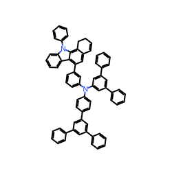 C1=Cc2cc(-c3cccc(N(c4ccc(-c5cc(-c6ccccc6)cc(-c6ccccc6)c5)cc4)c4cc(-c5ccccc5)cc(-c5ccccc5)c4)c3)c3c4ccccc4n(-c4ccccc4)c3c2CC1